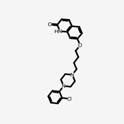 O=c1ccc2ccc(OCCCCN3CCN(c4ccccc4Cl)CC3)cc2[nH]1